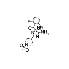 CS(=O)(=O)N1CCC(C2=N[N+](N)(C(=O)c3c(F)cccc3F)C(N)=N2)CC1